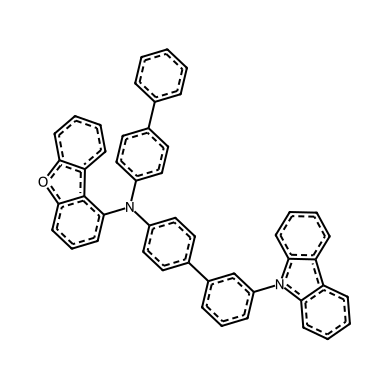 c1ccc(-c2ccc(N(c3ccc(-c4cccc(-n5c6ccccc6c6ccccc65)c4)cc3)c3cccc4oc5ccccc5c34)cc2)cc1